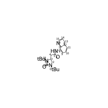 CC(C)(C)N1CC(CC(=O)Nc2cccc3cccnc23)N(C(C)(C)C)C1=O